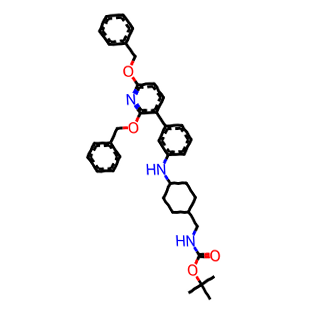 CC(C)(C)OC(=O)NCC1CCC(Nc2cccc(-c3ccc(OCc4ccccc4)nc3OCc3ccccc3)c2)CC1